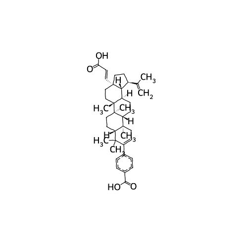 C=C(C)[C@@H]1CC[C@]2(/C=C/C(=O)O)CC[C@]3(C)[C@H](CC[C@@H]4[C@@]5(C)CC=C(c6ccc(C(=O)O)cc6)C(C)(C)[C@@H]5CC[C@]43C)[C@@H]12